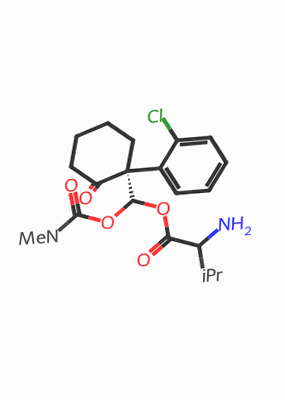 CNC(=O)OC(OC(=O)C(N)C(C)C)[C@@]1(c2ccccc2Cl)CCCCC1=O